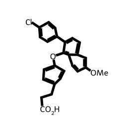 COc1ccc2c(Oc3ccc(CCC(=O)O)cc3)c(-c3ccc(Cl)cc3)ccc2c1